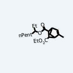 CCCCCC(CC)OC(=O)C1C2C=C(C)C(C2)C1C(=O)OCC